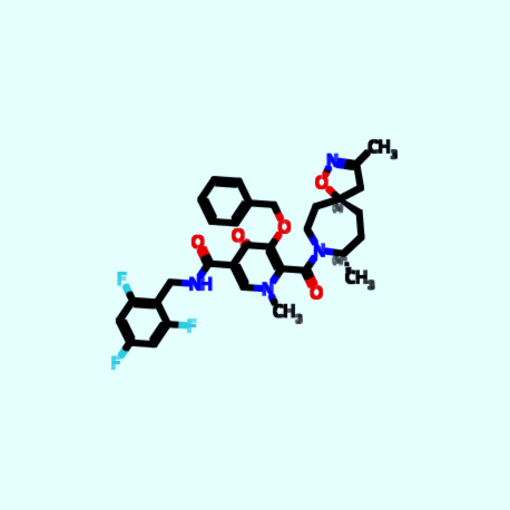 CC1=NO[C@]2(CC[C@H](C)N(C(=O)c3c(OCc4ccccc4)c(=O)c(C(=O)NCc4c(F)cc(F)cc4F)cn3C)CC2)C1